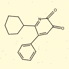 O=C1C=C(c2ccccc2)C(C2CCCCC2)=NC1=O